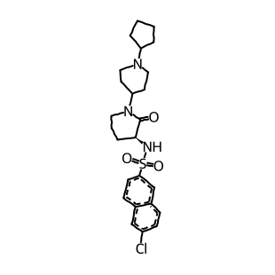 O=C1[C@@H](NS(=O)(=O)c2ccc3cc(Cl)ccc3c2)CCCN1C1CCN(C2CCCC2)CC1